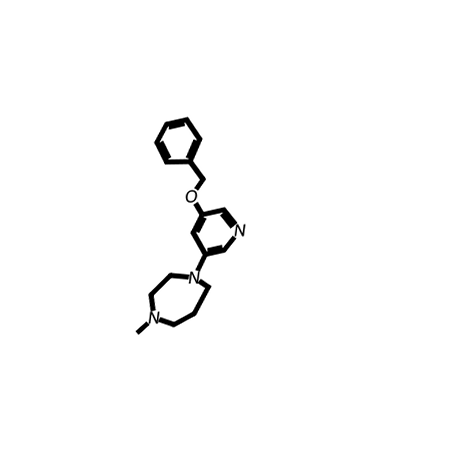 CN1CCCN(c2cncc(OCc3ccccc3)c2)CC1